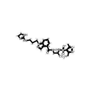 Cc1noc(C)c1S(=O)(=O)NC(CNC(=O)c1cccc2c1cnn2CCCNC1=NCCN1)C(=O)O